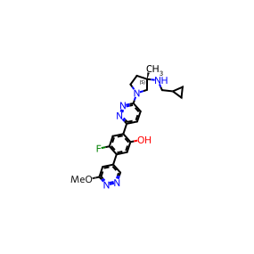 COc1cc(-c2cc(O)c(-c3ccc(N4CC[C@](C)(NCC5CC5)C4)nn3)cc2F)cnn1